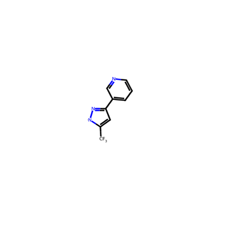 FC(F)(F)C1=CC(c2cccnc2)=N[N]1